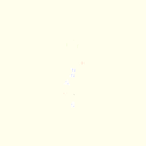 Cc1cc(C(F)(F)F)cc(O)c1-c1ccc(N2CCO[C@H](CC#N)C2)nn1